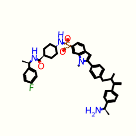 C=C(c1ccc([C@@H](C)N)cc1)C(C)Cc1ccc(-c2cc3ccc(S(=O)(=O)N[C@H]4CC[C@H](C(=O)N[C@H](C)c5ccc(F)cc5)CC4)cc3n2C)cc1